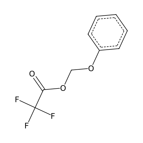 O=C(OCOc1ccccc1)C(F)(F)F